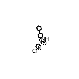 O=C1NC2(CCC(c3ccccc3)CC2)CN1c1ccc(Cl)nc1